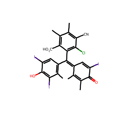 CC1=C(C)/C(=C(\c2cc(I)c(O)c(I)c2C)c2c(Cl)c(C#N)c(C)c(C)c2C(=O)O)C=C(I)C1=O